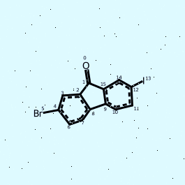 O=C1c2cc(Br)ccc2-c2ccc(I)cc21